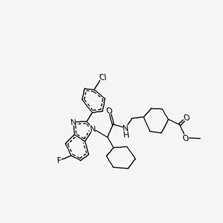 COC(=O)C1CCC(CNC(=O)C(C2CCCCC2)n2c(-c3ccc(Cl)cc3)nc3cc(F)ccc32)CC1